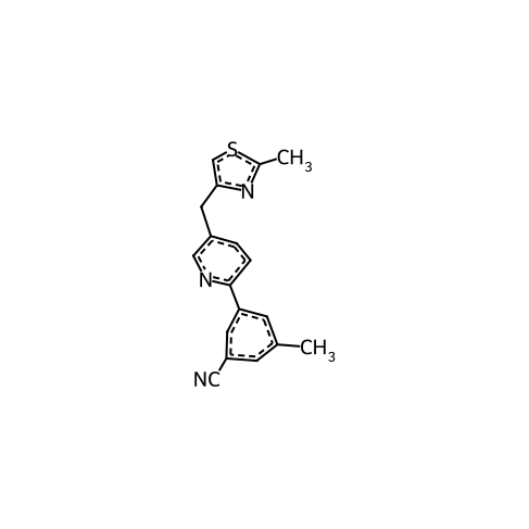 Cc1cc(C#N)cc(-c2ccc(Cc3csc(C)n3)cn2)c1